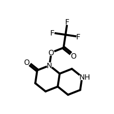 O=C1CCC2CCNCC2N1OC(=O)C(F)(F)F